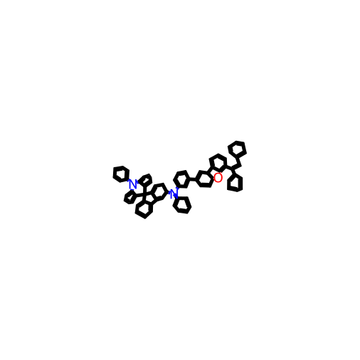 C1=CC2Oc3c(/C(=C\c4ccccc4)c4ccccc4)cccc3C2C=C1c1cccc(N(c2ccccc2)C2C=C3C(=CC2)C2(c4ccccc43)c3ccccc3N(c3ccccc3)c3ccccc32)c1